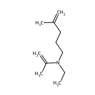 C=C(C)CCCN(CC)C(=C)C